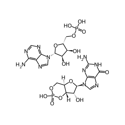 Nc1nc2c(ncn2[C@@H]2O[C@@H]3COP(=O)(O)O[C@H]3[C@H]2O)c(=O)[nH]1.Nc1ncnc2c1ncn2[C@@H]1O[C@H](COP(=O)(O)O)[C@@H](O)[C@H]1O